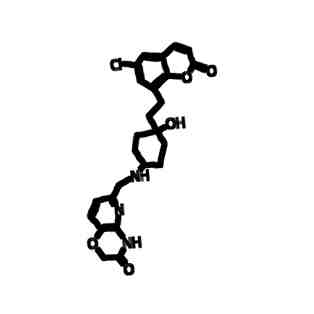 O=C1COc2ccc(CNC3CCC(O)(CCc4cc(Cl)cc5ccc(=O)oc45)CC3)nc2N1